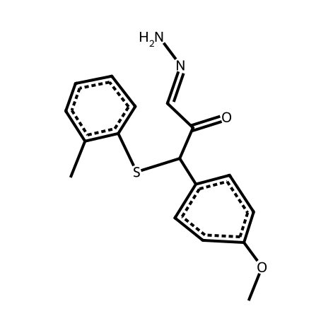 COc1ccc(C(Sc2ccccc2C)C(=O)C=NN)cc1